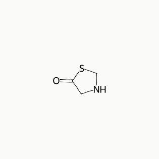 O=C1CNCS1